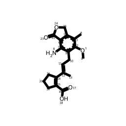 COc1c(C)c2c(c(N)c1C/C=C(\C)C1=C(C(=O)O)CCC1)C(=O)OC2